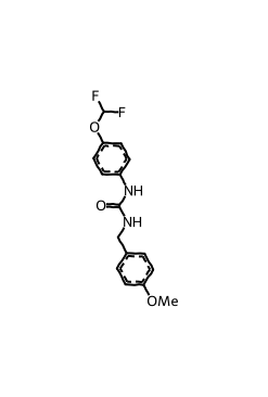 COc1ccc(CNC(=O)Nc2ccc(OC(F)F)cc2)cc1